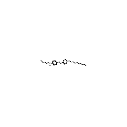 CCCCCCCCCCC1CC=C(CCc2ccc(OCCCCC)cc2)CC1